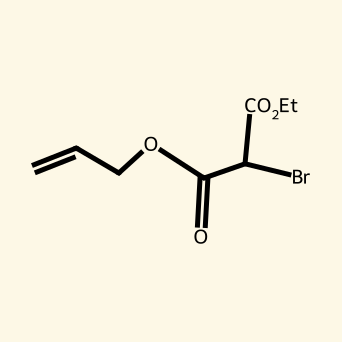 C=CCOC(=O)C(Br)C(=O)OCC